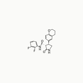 O=C1NC[C@H](c2ccc3c(c2)CCCO3)[C@H]1C(=O)Nc1cccc(F)c1F